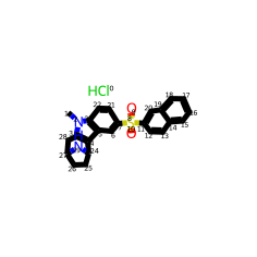 Cl.Cn1c2c(c3cc(S(=O)(=O)c4ccc5ccccc5c4)ccc31)C1CCC(C2)N1